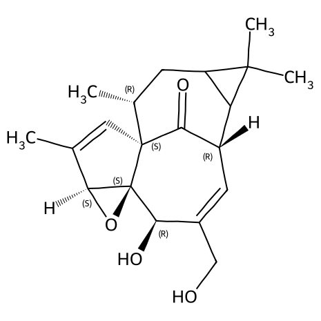 CC1=C[C@]23C(=O)[C@@H](C=C(CO)[C@@H](O)[C@@]24O[C@@H]14)C1C(C[C@H]3C)C1(C)C